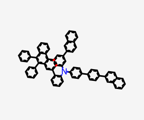 c1ccc(-c2c(-c3ccccc3)c3cc(-c4ccccc4N(c4ccc(-c5ccc(-c6ccc7ccccc7c6)cc5)cc4)c4cccc(-c5ccc6ccccc6c5)c4)ccc3c3ccccc23)cc1